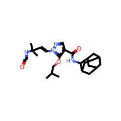 CC(C)COc1c(C(=O)NC2C3CC4CC(C3)CC2C4)cnn1/C=C/C(C)(C)N=C=O